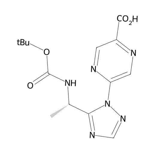 C[C@H](NC(=O)OC(C)(C)C)c1ncnn1-c1cnc(C(=O)O)cn1